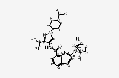 CC(C)C1CCC(n2cc(NC(=O)c3cccc4ccc(N5C[C@@H]6C[C@H]5CO6)nc34)c(C(F)F)n2)CC1